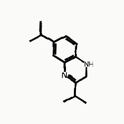 CC(C)C1=Nc2cc(C(C)C)ccc2NC1